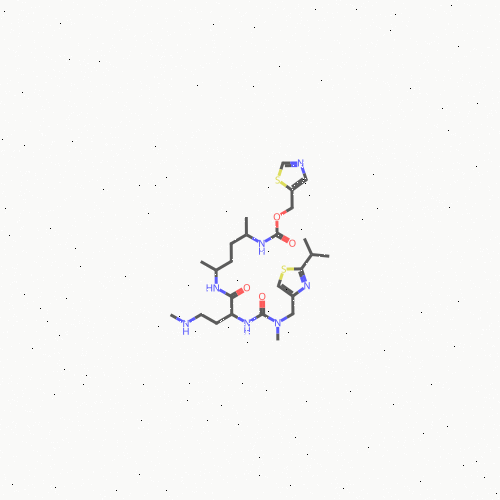 CNCCC(NC(=O)N(C)Cc1csc(C(C)C)n1)C(=O)NC(C)CCC(C)NC(=O)OCc1cncs1